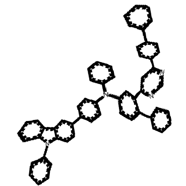 c1ccc(-c2ccc(-c3cc(-c4cc(N(c5ccccc5)c5ccc(-c6ccc7c(c6)c6ccccc6n7-c6ccccc6)cc5)ccc4-c4ccccc4)ncn3)cc2)cc1